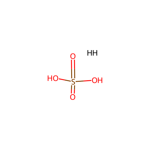 O=S(=O)(O)O.[HH]